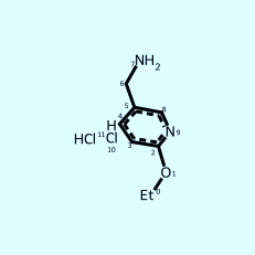 CCOc1ccc(CN)cn1.Cl.Cl